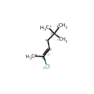 C/C(Cl)=C\CC(C)(C)C